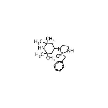 CC1(C)CC(N2CCNP2(=O)Cc2ccccc2)CC(C)(C)N1